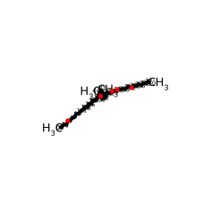 CCCCCCCCCCCCCCCCCCC[n+]1ccn(CCCCCCCCCCCCCCCCCC)c1C(C)C